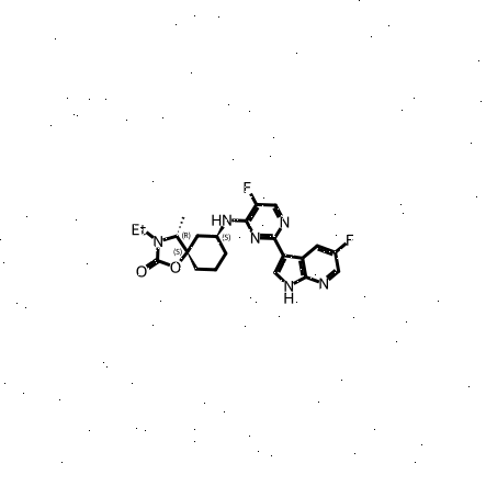 CCN1C(=O)O[C@]2(CCC[C@H](Nc3nc(-c4c[nH]c5ncc(F)cc45)ncc3F)C2)[C@H]1C